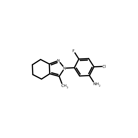 Cc1c2c(nn1-c1cc(N)c(Cl)cc1F)CCCC2